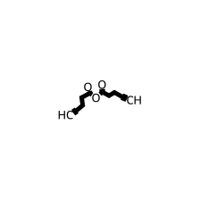 C#CCCC(=O)OC(=O)CCC#C